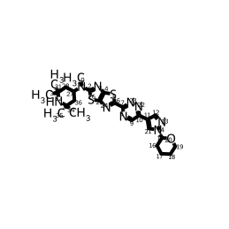 CN(c1nc2sc(-c3ncc(-c4cnn(C5CCCCO5)c4)nn3)nc2s1)C1CC(C)(C)NC(C)(C)C1